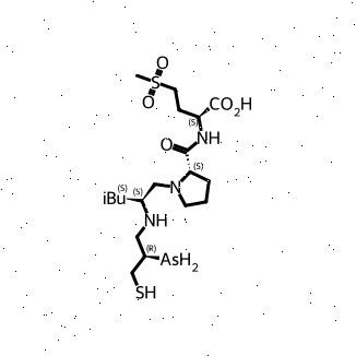 CC[C@H](C)[C@@H](CN1CCC[C@H]1C(=O)N[C@@H](CCS(C)(=O)=O)C(=O)O)NC[C@@H]([AsH2])CS